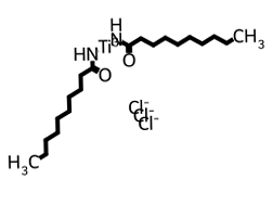 CCCCCCCCCC(=O)[NH][Ti+3][NH]C(=O)CCCCCCCCC.[Cl-].[Cl-].[Cl-]